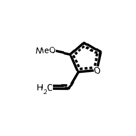 C=Cc1occc1OC